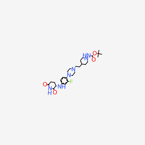 CC(C)(C)OC(=O)NN1CCC(CCN2CCN(c3ccc(N[C@H]4CCC(=O)NC4=O)cc3F)CC2)CC1